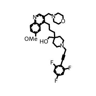 COc1ccc2ncc(CN3CCOCC3)c(CCCC3(CO)CCN(CC#Cc4c(F)cc(F)cc4F)CC3)c2c1